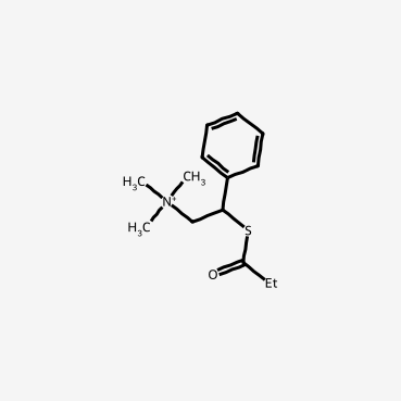 CCC(=O)SC(C[N+](C)(C)C)c1ccccc1